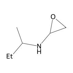 CCC(C)NC1CO1